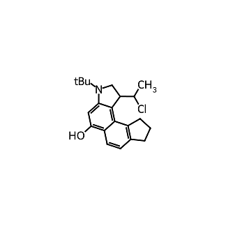 CC(Cl)C1CN(C(C)(C)C)c2cc(O)c3ccc4c(c3c21)CCC4